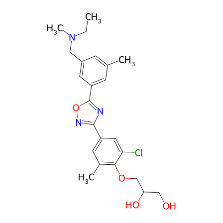 CCN(C)Cc1cc(C)cc(-c2nc(-c3cc(C)c(OCC(O)CO)c(Cl)c3)no2)c1